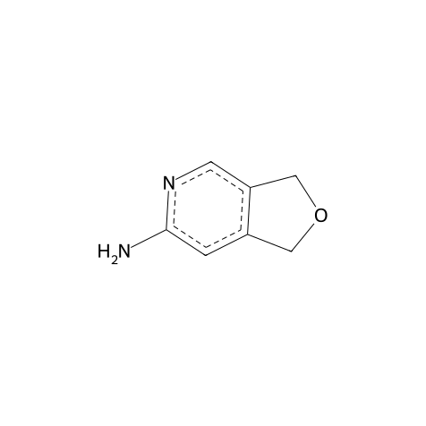 Nc1cc2c(cn1)COC2